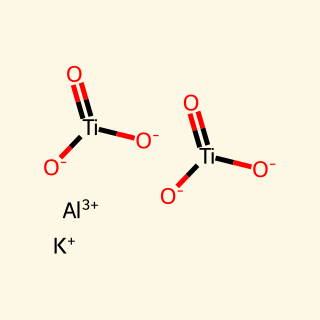 [Al+3].[K+].[O]=[Ti]([O-])[O-].[O]=[Ti]([O-])[O-]